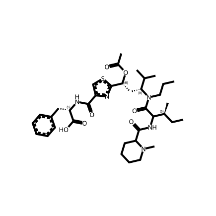 CCCN(C(=O)C(NC(=O)C1CCCCN1C)[C@@H](C)CC)[C@H](C[C@@H](OC(C)=O)c1nc(C(=O)N[C@@H](Cc2ccccc2)C(=O)O)cs1)C(C)C